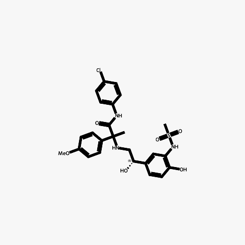 COc1ccc(C(C)(NC[C@@H](O)c2ccc(O)c(NS(C)(=O)=O)c2)C(=O)Nc2ccc(Cl)cc2)cc1